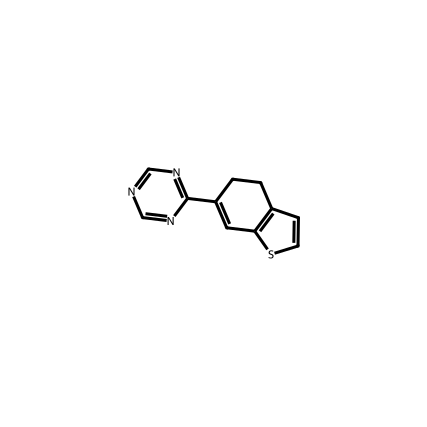 C1=C(c2ncncn2)CCc2ccsc21